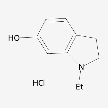 CCN1CCc2ccc(O)cc21.Cl